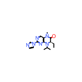 CC[C@@H]1C(=O)N(C)c2cnc(-n3ccnc3)nc2N1C(C)C